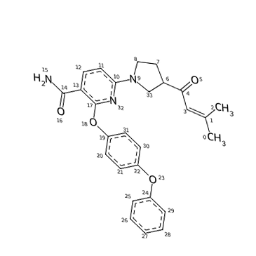 CC(C)=CC(=O)C1CCN(c2ccc(C(N)=O)c(Oc3ccc(Oc4ccccc4)cc3)n2)C1